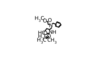 C#CCC(CN(CC(=O)OCC)Cc1ccccc1)NC(=O)OC(C)(C)C